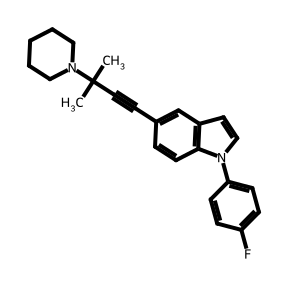 CC(C)(C#Cc1ccc2c(ccn2-c2ccc(F)cc2)c1)N1CCCCC1